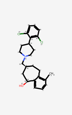 Cc1cccc2c1CC[C@H](CN1CCC(c3c(Cl)cccc3Cl)CC1)C[C@@H]2O